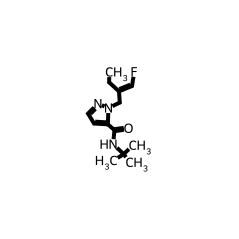 CC/C(=C\F)Cn1nccc1C(=O)NC(C)(C)C